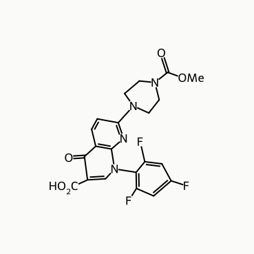 COC(=O)N1CCN(c2ccc3c(=O)c(C(=O)O)cn(-c4c(F)cc(F)cc4F)c3n2)CC1